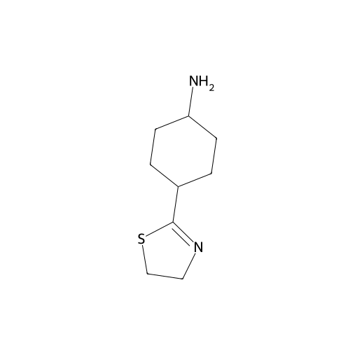 NC1CCC(C2=NCCS2)CC1